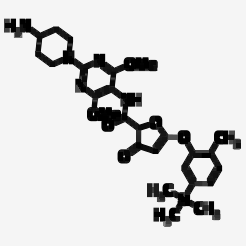 COc1nc(N2CCC(N)CC2)nc(OC)c1NC(=O)C1OC(Oc2cc([Si](C)(C)C)ccc2C)=CC1=O